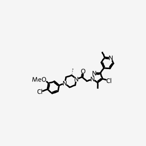 COc1cc(N2CCN(C(=O)Cn3nc(-c4ccnc(C)c4)c(Cl)c3C)[C@@H](C)C2)ccc1Cl